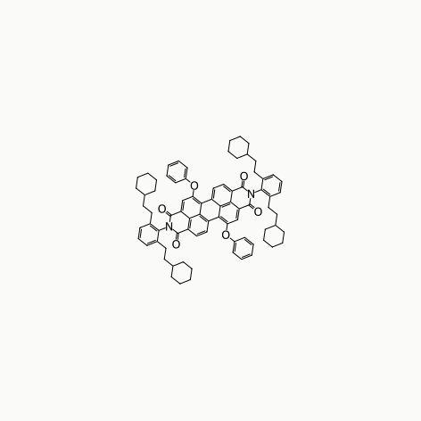 O=C1c2ccc3c4c(Oc5ccccc5)cc5c6c(ccc(c7c(Oc8ccccc8)cc(c2c37)C(=O)N1c1c(CCC2CCCCC2)cccc1CCC1CCCCC1)c64)C(=O)N(c1c(CCC2CCCCC2)cccc1CCC1CCCCC1)C5=O